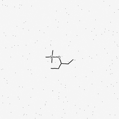 CCC(CC)O[Si](C)(C)C